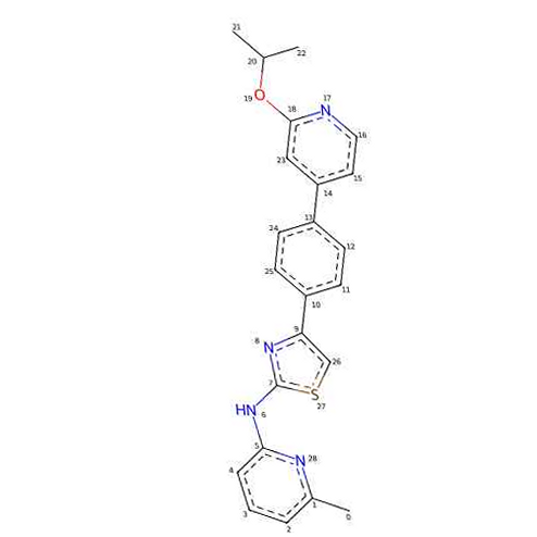 Cc1cccc(Nc2nc(-c3ccc(-c4ccnc(OC(C)C)c4)cc3)cs2)n1